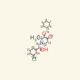 Cc1c(OCc2ccccc2)c(=O)ccn1C[C@H](O)c1cccc(Cl)c1